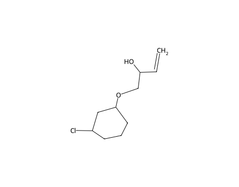 C=CC(O)COC1CCCC(Cl)C1